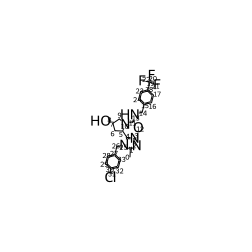 Cc1nnc(C2C[C@H](O)CN2C(=O)NCc2ccc(C(F)(F)F)cc2)n1Cc1ccc(Cl)cc1